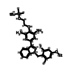 CCOc1cc(F)c(Cn2nc(-c3nc(N)c(OCCO[Si](C)(C)C(C)(C)C)c(N)n3)c3ccccc32)c(F)c1